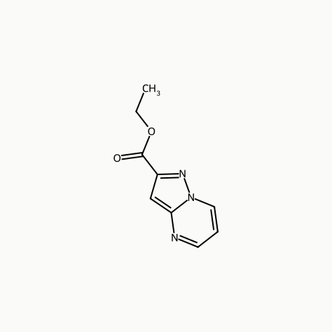 CCOC(=O)c1cc2ncccn2n1